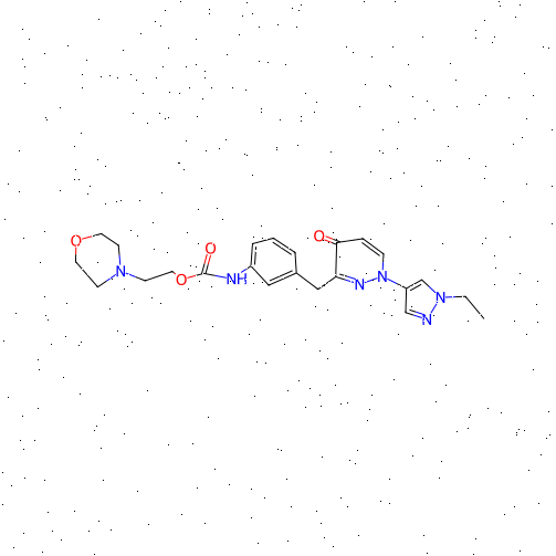 CCn1cc(-n2ccc(=O)c(Cc3cccc(NC(=O)OCCN4CCOCC4)c3)n2)cn1